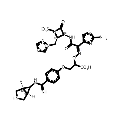 N=C(NC1[C@H]2CNC[C@@H]12)c1ccc(OCC(O/N=C(\C(=O)N[C@@H]2C(=O)N(S(=O)(=O)O)[C@@H]2Cn2cncn2)c2csc(N)n2)C(=O)O)cc1